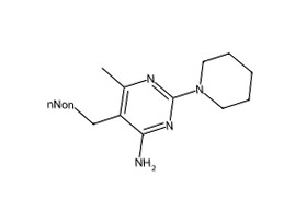 CCCCCCCCCCc1c(C)nc(N2CCCCC2)nc1N